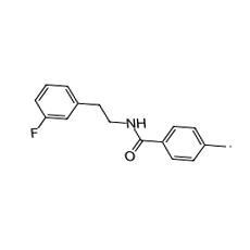 [CH2]c1ccc(C(=O)NCCc2cccc(F)c2)cc1